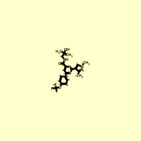 Cc1nn(C)cc1-c1nc(C(=O)NCC(C)(C)O)cc(-c2ccc(OC(F)(F)F)cc2)n1